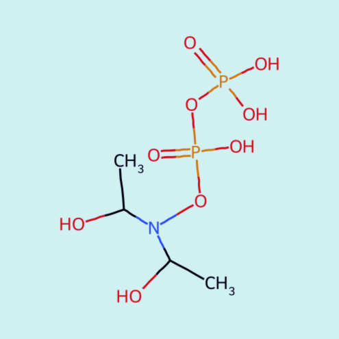 CC(O)N(OP(=O)(O)OP(=O)(O)O)C(C)O